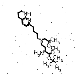 CO[C@H](C)CN(CCCCc1ccc2c(n1)NCCC2)CC[C@H](N)C(=O)OC(C)(C)C